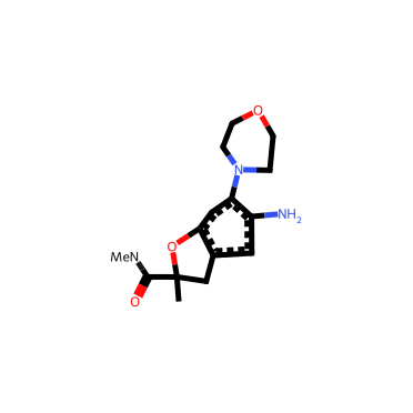 CNC(=O)C1(C)Cc2cc(N)c(N3CCOCC3)cc2O1